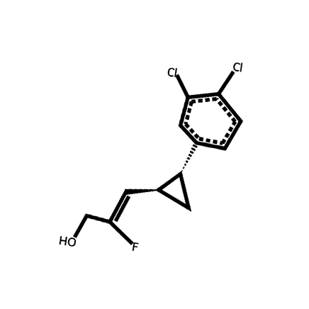 OC/C(F)=C/[C@@H]1C[C@H]1c1ccc(Cl)c(Cl)c1